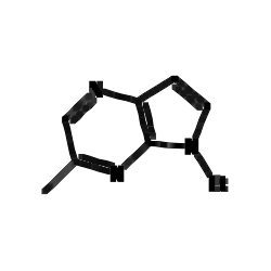 CCn1ccc2ncc(C)nc21